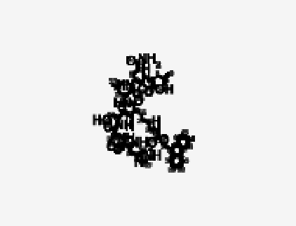 CC(C)C[C@H](NC(=O)[C@H](CCC(N)=O)NC(=O)[C@H](CC(C)C)NC(=O)[C@H](CCCCNC(=O)OCC1c2ccccc2-c2ccccc21)NC(=O)[C@H](CO)NC(=O)[C@H](CO)NC(=O)[C@@H](N)Cc1c[nH]cn1)C(=O)O